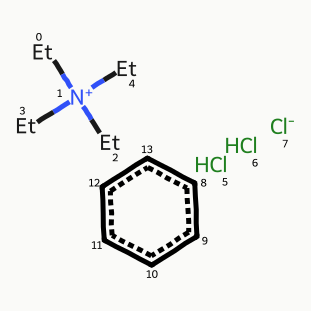 CC[N+](CC)(CC)CC.Cl.Cl.[Cl-].c1ccccc1